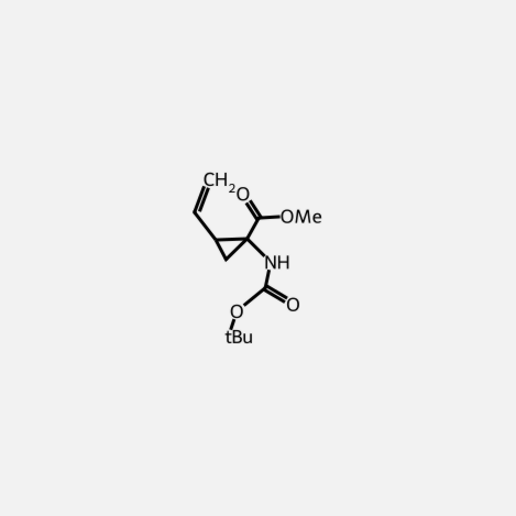 C=CC1CC1(NC(=O)OC(C)(C)C)C(=O)OC